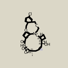 C[C@@H]1[C@@H](C)C/C=C\[C@H](O)[C@@H]2CC[C@H]2CN2CCCCC3C=C(Cl)C=CC3COc3ccc(cc32)C(=O)NS1(=O)=O